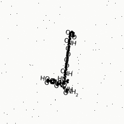 CC(C)[C@H](NCCNC(=O)CCOCCOCCOCCOCCNC(=O)CCN1C(=O)C=CC1=O)C(=O)N[C@@H](CCCNC(N)=O)C(=O)Nc1ccc(C(=O)O)cc1